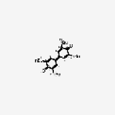 CCCCC1=CC(=C2C=C(CCCC)C(=O)C(CCCC)=C2)C=C(CCCC)C1=O